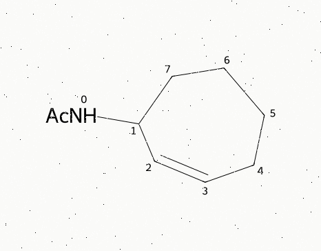 CC(=O)NC1C=CCCCC1